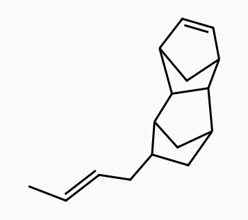 CC=CCC1CC2CC1C1C3C=CC(C3)C21